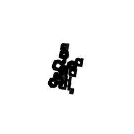 C[C@H](NC(=O)c1nn(-c2ccc(Cl)cc2Cl)c2c1CCCC/C2=C\c1ccc(Cl)cc1)C1CCCCC1